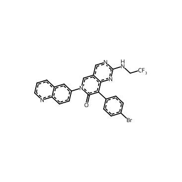 O=c1c(-c2ccc(Br)cc2)c2nc(NCC(F)(F)F)ncc2cn1-c1ccc2ncccc2c1